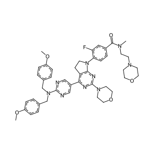 COc1ccc(CN(Cc2ccc(OC)cc2)c2ncc(-c3nc(N4CCOCC4)nc4c3CCN4c3ccc(C(=O)N(C)CCN4CCOCC4)cc3F)cn2)cc1